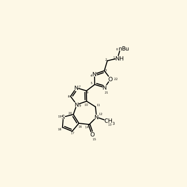 CCCCNCc1nc(-c2ncn3c2CN(C)C(=O)c2ccsc2-3)no1